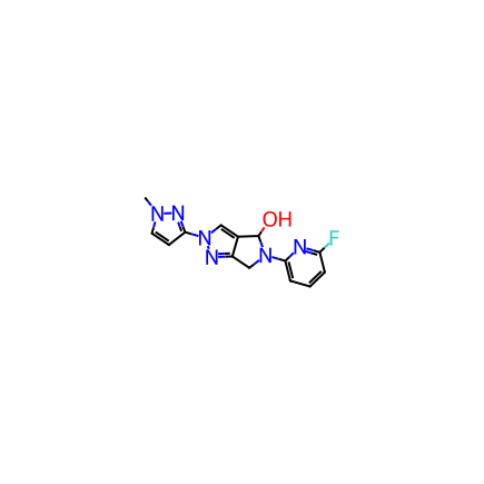 Cn1ccc(-n2cc3c(n2)CN(c2cccc(F)n2)C3O)n1